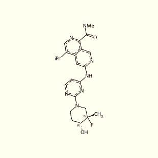 CNC(=O)c1ncc(C(C)C)c2cc(Nc3ccnc(N4CC[C@@H](O)[C@@](C)(F)C4)n3)ncc12